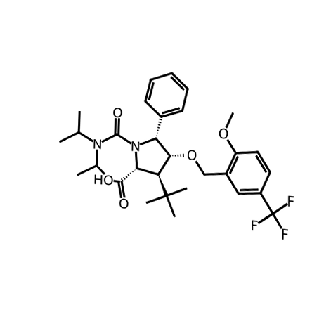 COc1ccc(C(F)(F)F)cc1CO[C@@H]1[C@@H](C(C)(C)C)[C@H](C(=O)O)N(C(=O)N(C(C)C)C(C)C)[C@@H]1c1ccccc1